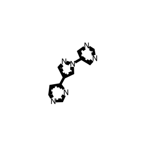 c1cc(-c2cnn(-c3cncnc3)c2)ncn1